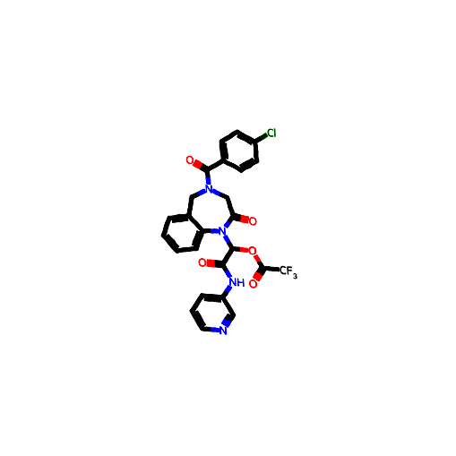 O=C(Nc1cccnc1)C(OC(=O)C(F)(F)F)N1C(=O)CN(C(=O)c2ccc(Cl)cc2)Cc2ccccc21